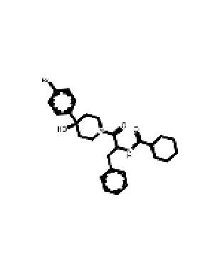 O=C(NC(Cc1ccccc1)C(=O)N1CCC(O)(c2ccc(Br)cc2)CC1)C1CCCCC1